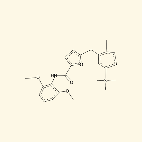 COc1cccc(OC)c1NC(=O)c1ccc(Cc2cc([Si](C)(C)C)ccc2C)o1